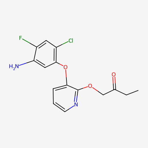 CCC(=O)COc1ncccc1Oc1cc(N)c(F)cc1Cl